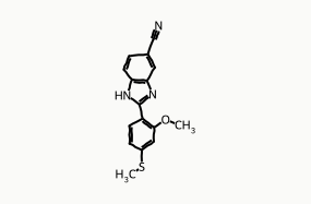 COc1cc(SC)ccc1-c1nc2cc(C#N)ccc2[nH]1